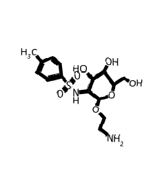 Cc1ccc(S(=O)(=O)NC2C(OCCN)OC(CO)C(O)C2O)cc1